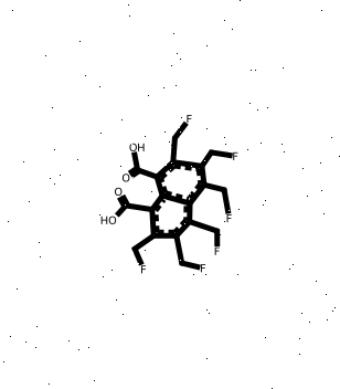 O=C(O)c1c(CF)c(CF)c(CF)c2c(CF)c(CF)c(CF)c(C(=O)O)c12